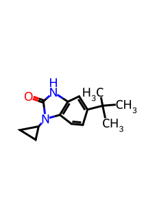 CC(C)(C)c1ccc2c(c1)[nH]c(=O)n2C1CC1